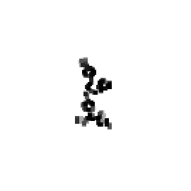 CC(=O)N(C)c1ccc(SC(CCc2ccc(Cl)cc2)Cn2ccnc2)cc1